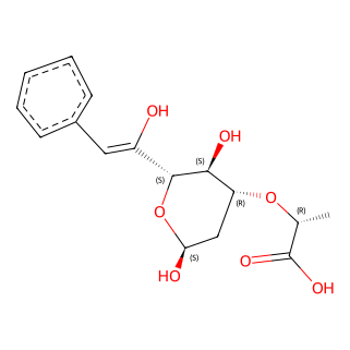 C[C@@H](O[C@@H]1C[C@@H](O)O[C@H](C(O)=Cc2ccccc2)[C@H]1O)C(=O)O